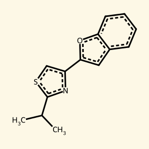 CC(C)c1nc(-c2cc3ccccc3o2)cs1